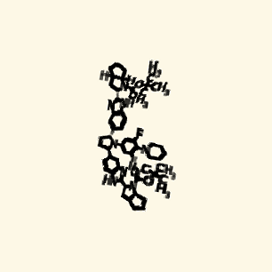 CC(C)(C)OC(=O)N1C2CCCC2C[C@H]1c1nc2cc([C@H]3CC[C@H](c4ccc5[nH]c([C@@H]6C[C@@H]7CCC[C@@H]7N6C(=O)OC(C)(C)C)nc5c4)N3c3cc(F)c(N4CCCCC4)c(F)c3)ccc2[nH]1